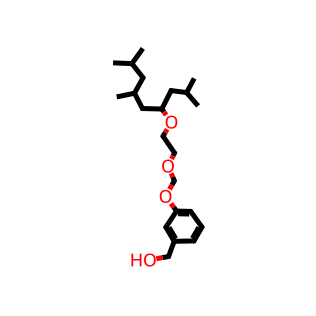 CC(C)CC(C)CC(CC(C)C)OCCOCOc1cccc(CO)c1